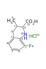 CC1Cc2cccc(F)c2NC1C(=O)O.Cl